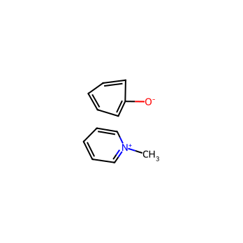 C[n+]1ccccc1.[O-]c1ccccc1